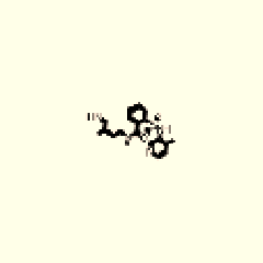 Cc1ccncc1NS(=O)(=O)c1ccccc1C(=O)N(C)CCC(C)C=N